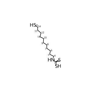 S=C(S)NCCCCCCCCCCCS